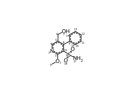 COc1ncc(CO)c(-c2ccccc2)c1S(N)(=O)=O